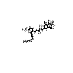 C#Cc1cc(CNC(=O)C=Cc2ccc(C(F)(F)F)nc2C#CCOC)cc(F)c1NS(C)(=O)=O